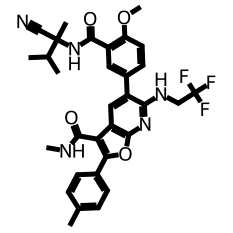 CNC(=O)c1c(-c2ccc(C)cc2)oc2nc(NCC(F)(F)F)c(-c3ccc(OC)c(C(=O)NC(C)(C#N)C(C)C)c3)cc12